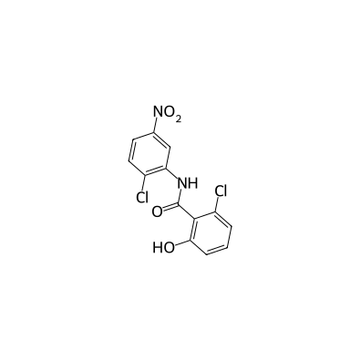 O=C(Nc1cc([N+](=O)[O-])ccc1Cl)c1c(O)cccc1Cl